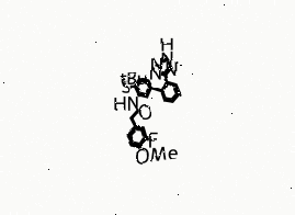 COc1ccc(CC(=O)Nc2cc(-c3ccccc3-c3nn[nH]n3)ccc2SC(C)(C)C)cc1F